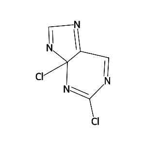 ClC1=NC2(Cl)N=CN=C2C=N1